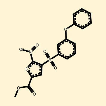 COC(=O)c1cc(S(=O)(=O)c2cccc(Oc3ccccc3)c2)c([N+](=O)[O-])s1